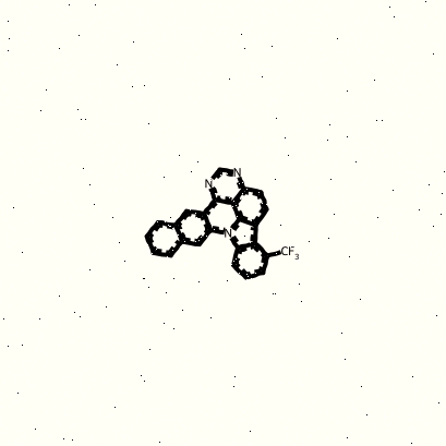 FC(F)(F)c1cccc2c1c1ccc3ncnc4c5cc6ccccc6cc5n2c1c34